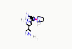 Cn1cc(-c2cc3c(N4CC5CC[C@@H](C4)N5C4CC(C)(C#N)C4)ccnn3c2)cn1